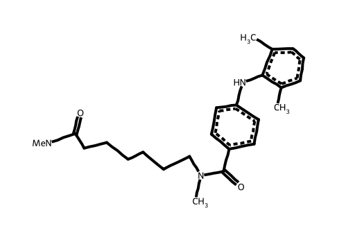 CNC(=O)CCCCCCN(C)C(=O)c1ccc(Nc2c(C)cccc2C)cc1